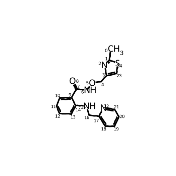 Cc1nc(CONC(=O)c2ccccc2NCc2ccccn2)cs1